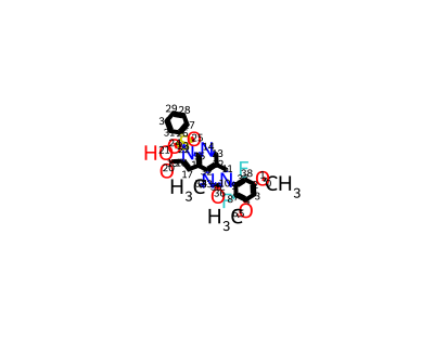 COc1cc(OC)c(F)c(N2Cc3cnc4c(cc(C(=O)O)n4S(=O)(=O)c4ccccc4)c3N(C)C2=O)c1F